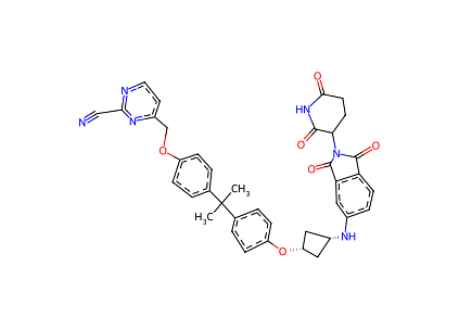 CC(C)(c1ccc(OCc2ccnc(C#N)n2)cc1)c1ccc(O[C@H]2C[C@@H](Nc3ccc4c(c3)C(=O)N(C3CCC(=O)NC3=O)C4=O)C2)cc1